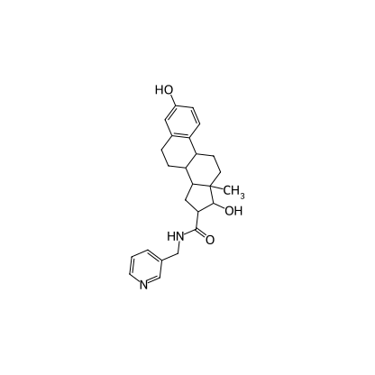 CC12CCC3c4ccc(O)cc4CCC3C1CC(C(=O)NCc1cccnc1)C2O